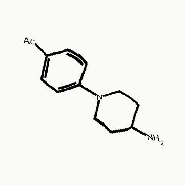 CC(=O)c1ccc(N2CCC(N)CC2)cc1